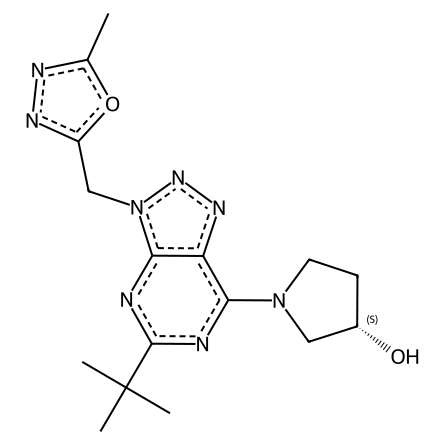 Cc1nnc(Cn2nnc3c(N4CC[C@H](O)C4)nc(C(C)(C)C)nc32)o1